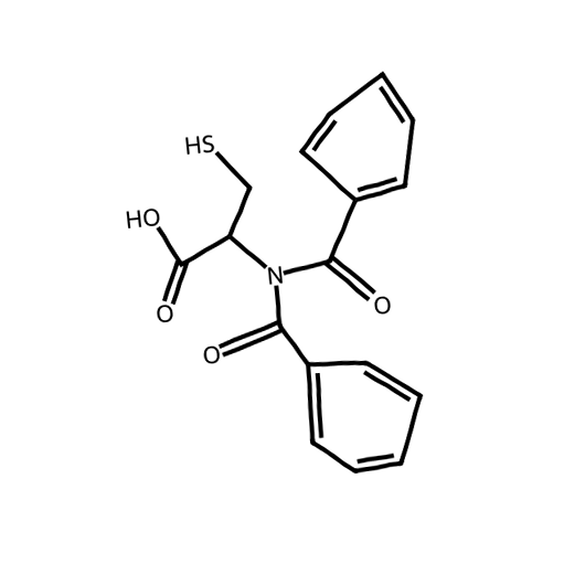 O=C(O)C(CS)N(C(=O)c1ccccc1)C(=O)c1ccccc1